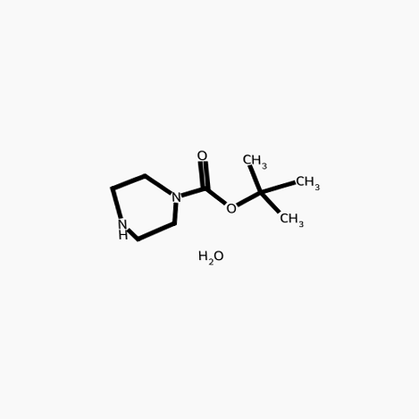 CC(C)(C)OC(=O)N1CCNCC1.O